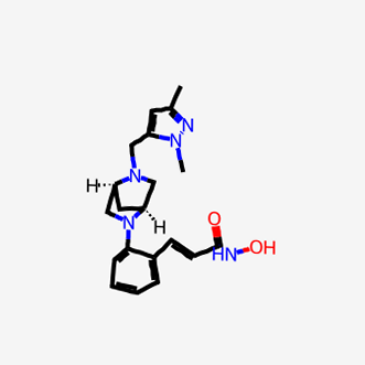 Cc1cc(CN2C[C@@H]3C[C@H]2CN3c2ccccc2C=CC(=O)NO)n(C)n1